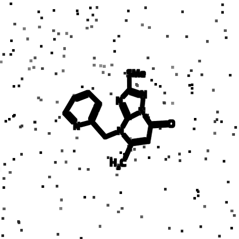 CSc1nc2n(Cc3ccccn3)c(C)cc(=O)n2n1